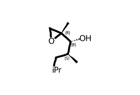 CC(C)C[C@H](C)[C@@H](O)[C@@]1(C)CO1